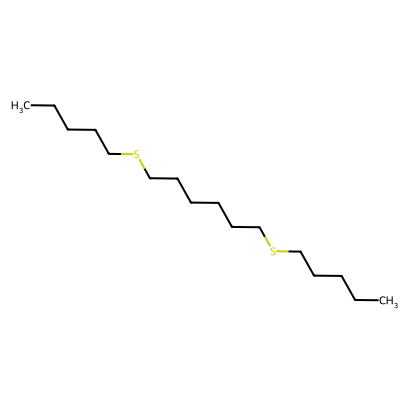 CCCCCSCCCCCCSCCCCC